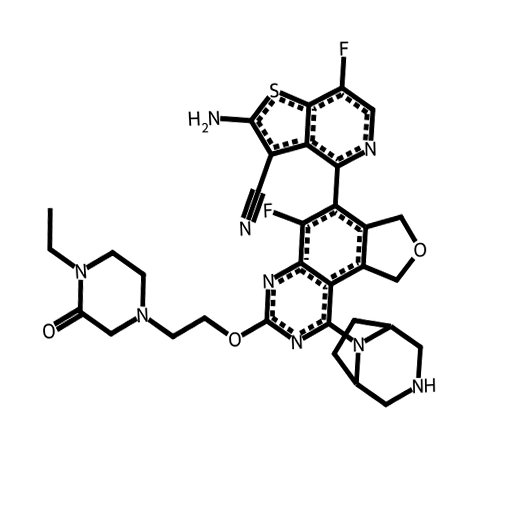 CCN1CCN(CCOc2nc(N3C4CCC3CNC4)c3c4c(c(-c5ncc(F)c6sc(N)c(C#N)c56)c(F)c3n2)COC4)CC1=O